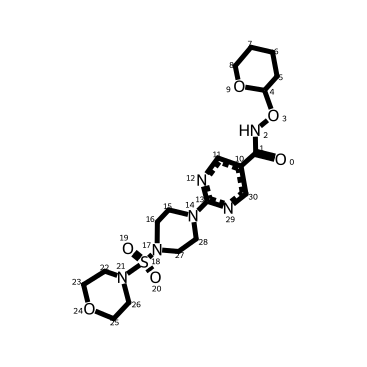 O=C(NOC1CCCCO1)c1cnc(N2CCN(S(=O)(=O)N3CCOCC3)CC2)nc1